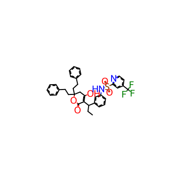 CCC(C1=C(O)CC(CCc2ccccc2)(CCc2ccccc2)OC1=O)c1cccc(NS(=O)(=O)c2cc(C(F)(F)F)ccn2)c1